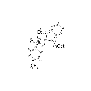 CCCCCCCCN1c2ccccc2N(CC)C1OS(=O)(=O)c1ccc(C)cc1